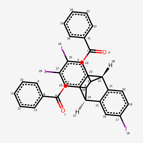 O=C(OC1C(OC(=O)c2ccccc2)[C@H]2c3cc(I)ccc3[C@H]1c1cc(I)c(I)cc12)c1ccccc1